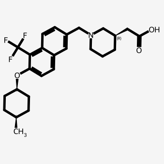 C[C@H]1CC[C@@H](Oc2ccc3cc(CN4CCC[C@H](CC(=O)O)C4)ccc3c2C(F)(F)F)CC1